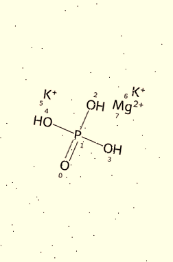 O=P(O)(O)O.[K+].[K+].[Mg+2]